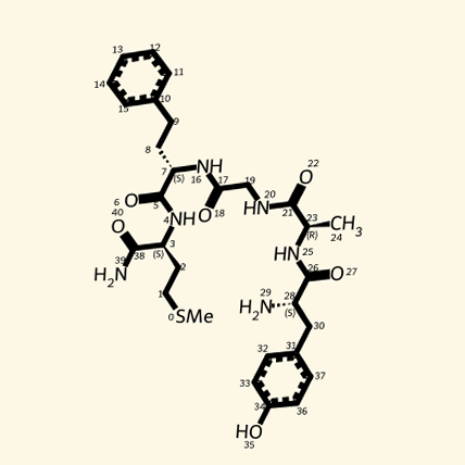 CSCC[C@H](NC(=O)[C@H](CCc1ccccc1)NC(=O)CNC(=O)[C@@H](C)NC(=O)[C@@H](N)Cc1ccc(O)cc1)C(N)=O